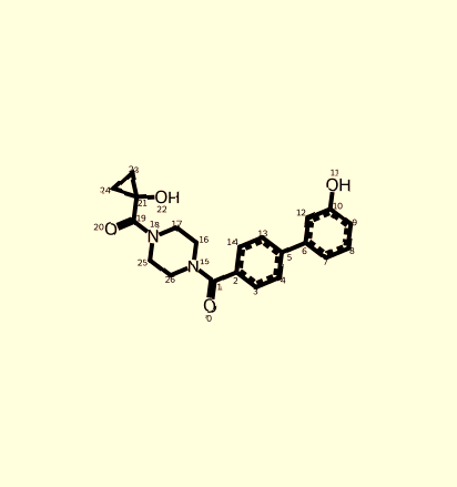 O=C(c1ccc(-c2cccc(O)c2)cc1)N1CCN(C(=O)C2(O)CC2)CC1